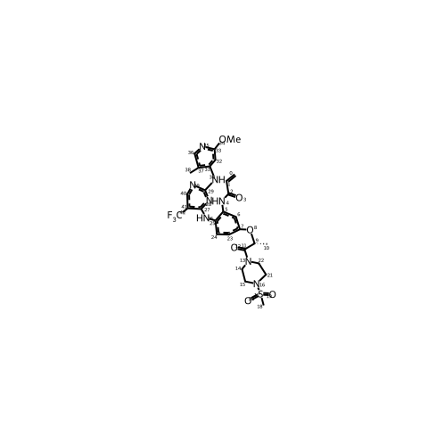 C=CC(=O)Nc1cc(O[C@H](C)C(=O)N2CCN(S(C)(=O)=O)CC2)ccc1Nc1nc(Nc2cc(OC)ncc2C)ncc1C(F)(F)F